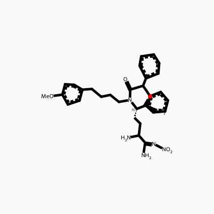 COc1ccc(CCCCN(C(=O)C(c2ccccc2)c2ccccc2)[C@@H](CCC(N)C(N)=N[N+](=O)[O-])C(N)=O)cc1